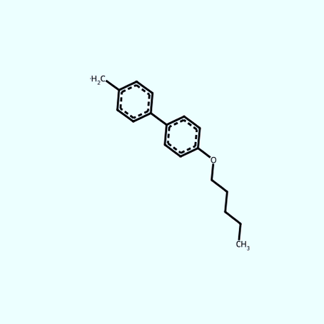 [CH2]c1ccc(-c2ccc(OCCCCC)cc2)cc1